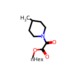 CCCCCCOC(=O)C(=O)N1CCC(C)CC1